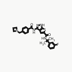 CC(C)(NC(=O)c1cc2c(NC(=O)c3ccc(CN4CCC4)cc3)n[nH]c2s1)c1cccc(F)c1